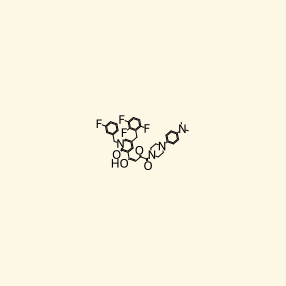 CN(C)c1ccc(N2CCN(C(=O)C(=O)/C=C(/O)c3cc(Cc4c(F)ccc(F)c4F)cn(Cc4cccc(F)c4)c3=O)CC2)cc1